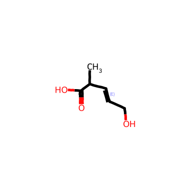 CC(/C=C/CO)C(=O)O